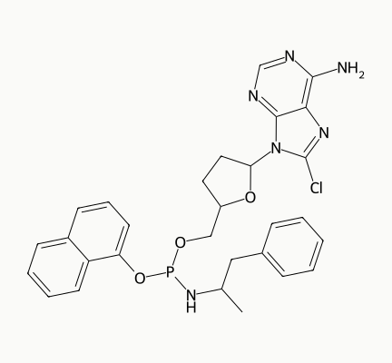 CC(Cc1ccccc1)NP(OCC1CCC(n2c(Cl)nc3c(N)ncnc32)O1)Oc1cccc2ccccc12